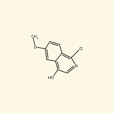 COc1ccc2c(Cl)ncc(O)c2c1